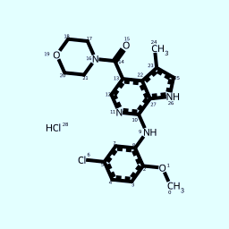 COc1ccc(Cl)cc1Nc1ncc(C(=O)N2CCOCC2)c2c(C)c[nH]c12.Cl